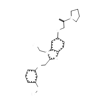 CCOc1cccc(OCc2nc3ccc(OCC(=O)N4CCCC4)cc3n2CC(C)C)c1